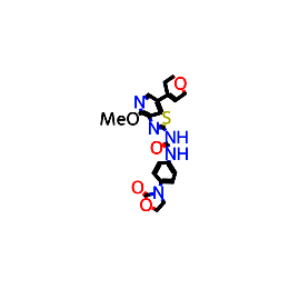 COc1ncc(C2=CCOCC2)c2sc(NC(=O)Nc3ccc(N4CCOC4=O)cc3)nc12